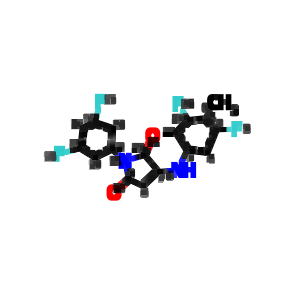 Cc1c(F)cc(NC2=CC(=O)N(c3cc(F)cc(F)c3)C2=O)cc1F